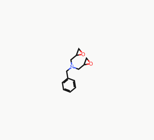 c1ccc(CN(CC2CO2)CC2CO2)cc1